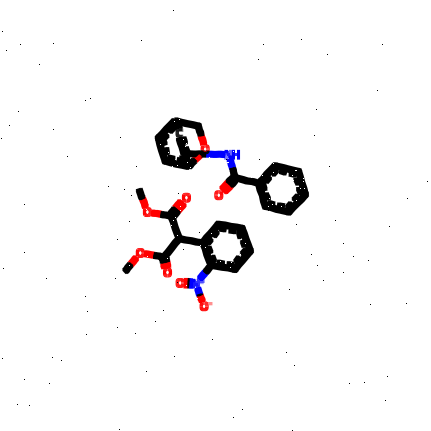 COC(=O)C(C(=O)OC)c1ccccc1[N+](=O)[O-].O=C(Nc1cc2ccc1OC2)c1ccccc1